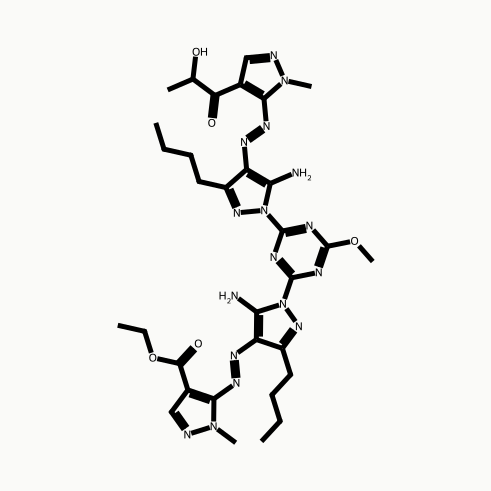 CCCCc1nn(-c2nc(OC)nc(-n3nc(CCCC)c(/N=N/c4c(C(=O)C(C)O)cnn4C)c3N)n2)c(N)c1/N=N/c1c(C(=O)OCC)cnn1C